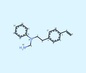 C=Cc1ccc(CCN(CN)c2ccccc2)cc1